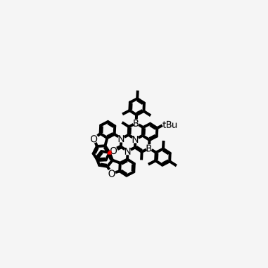 CC1=C2N3C(=C(C)B(c4c(C)cc(C)cc4C)c4cc(C(C)(C)C)cc(c43)B1c1c(C)cc(C)cc1C)N(c1cccc3oc4ccccc4c13)C(=O)N2c1cccc2oc3ccccc3c12